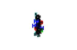 O=C(NCc1ccc(F)cc1F)c1cc(NC(=O)c2cc(F)c(F)cc2Cl)[nH]n1